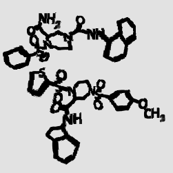 COc1ccc(S(=O)(=O)N2CCN(S(=O)(=O)c3cccs3)C(C(=O)NC3CCc4ccccc43)C2)cc1.NC(=O)C1CN(C(=O)NCc2cccc3ccccc23)CCN1S(=O)(=O)c1ccccc1